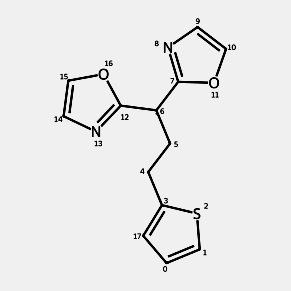 c1csc(CC[C](c2ncco2)c2ncco2)c1